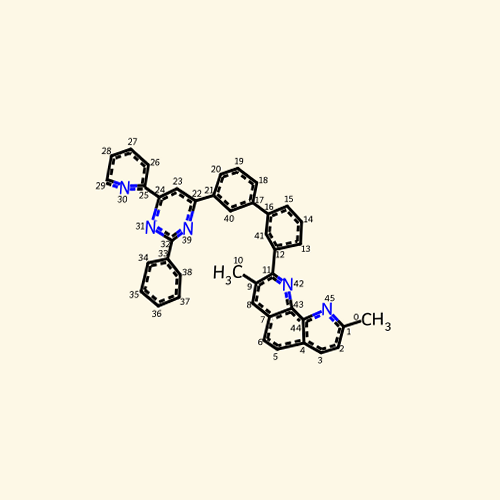 Cc1ccc2ccc3cc(C)c(-c4cccc(-c5cccc(-c6cc(-c7ccccn7)nc(-c7ccccc7)n6)c5)c4)nc3c2n1